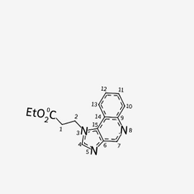 CCOC(=O)CCn1cnc2cnc3ccccc3c21